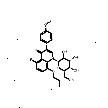 CCCOc1ccc(F)c2c(=O)c(-c3ccc(OC)cc3)cn([C@@H]3O[C@H](CO)[C@H](O)[C@@H](O)[C@@H]3O)c12